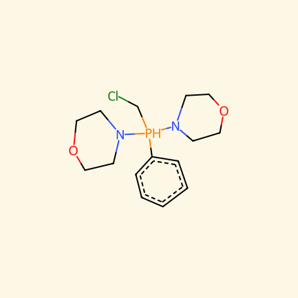 ClC[PH](c1ccccc1)(N1CCOCC1)N1CCOCC1